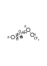 O=C(NCc1cc(-c2ccc(C(F)(F)F)nc2)ccc1F)[C@@H]1C2CC(C2)N1S(=O)(=O)c1ccc(F)cc1